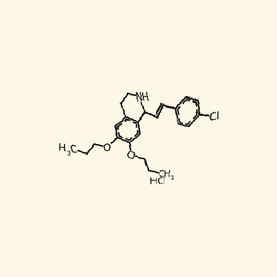 CCCOc1cc2c(cc1OCCC)C(C=Cc1ccc(Cl)cc1)NCC2.Cl